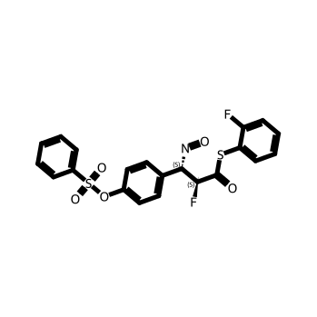 O=N[C@@H](c1ccc(OS(=O)(=O)c2ccccc2)cc1)[C@H](F)C(=O)Sc1ccccc1F